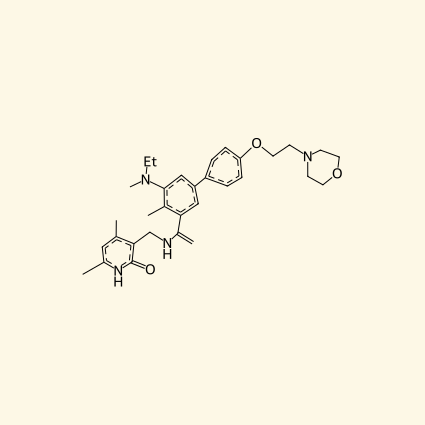 C=C(NCc1c(C)cc(C)[nH]c1=O)c1cc(-c2ccc(OCCN3CCOCC3)cc2)cc(N(C)CC)c1C